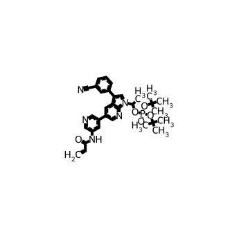 C=CC(=O)Nc1cncc(-c2cnc3c(c2)c(-c2cccc(C#N)c2)cn3C(C)OP(=O)(OC(C)(C)C)OC(C)(C)C)c1